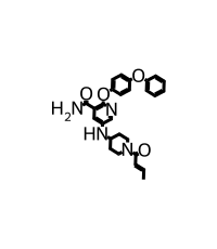 CC=CC(=O)N1CCC(Nc2cnc(Oc3ccc(Oc4ccccc4)cc3)c(C(N)=O)c2)CC1